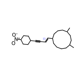 CC1CCCCC(/C=C/C#CC2CCC([N+](=O)[O-])CC2)CCCC(C)CC1